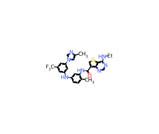 CCNc1ncnc2c(C(=O)Nc3cc(Nc4cc(-n5cnc(C)c5)cc(C(F)(F)F)c4)ccc3C)csc12